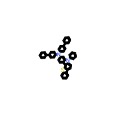 c1ccc(-c2ccc(N(c3ccc(-c4ccccc4)cc3)c3ccc4c5c6sc7ccccc7c6ccc5n(-c5ccccc5)c4c3)cc2)cc1